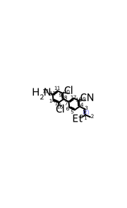 CC/C(C)=C\c1ccc(-c2c(Cl)cc(N)cc2Cl)cc1C#N